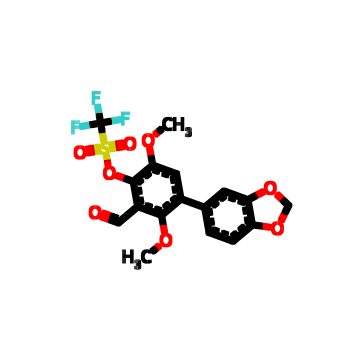 COc1cc(-c2ccc3c(c2)OCO3)c(OC)c(C=O)c1OS(=O)(=O)C(F)(F)F